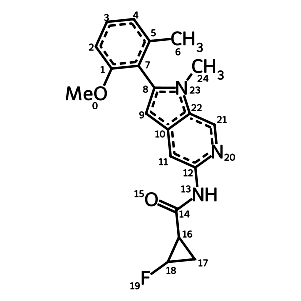 COc1cccc(C)c1-c1cc2cc(NC(=O)C3CC3F)ncc2n1C